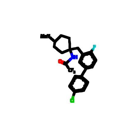 CNC1CCC(Cc2cc(-c3ccc(Cl)cc3)ccc2F)(NC(=O)C(F)(F)F)CC1